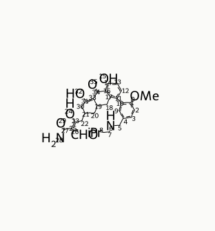 COc1ccc(CNCC(C)C)cc1-c1ccc(O)c2c1CC1CC(C/C(O)=C(\C=O)C(N)=O)CC(O)=C1C2=O